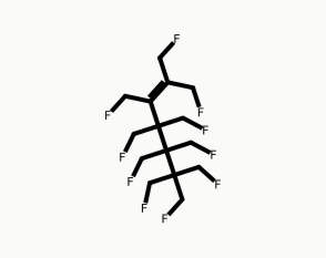 FCC(CF)=C(CF)C(CF)(CF)C(CF)(CF)C(CF)(CF)CF